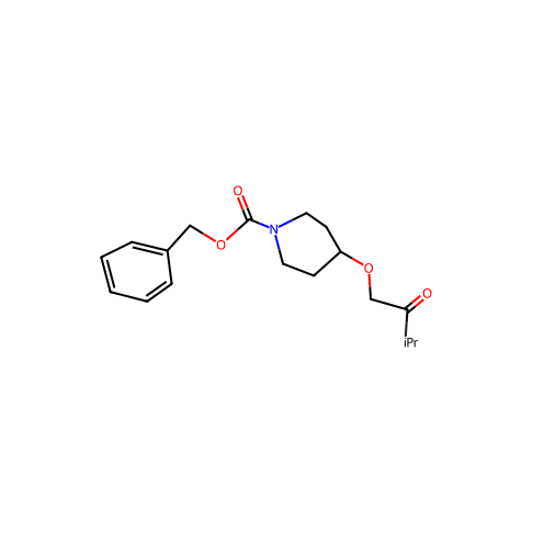 CC(C)C(=O)COC1CCN(C(=O)OCc2ccccc2)CC1